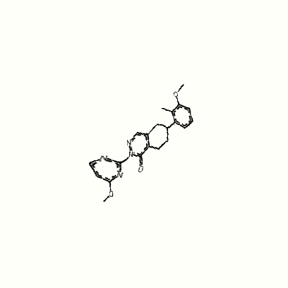 COc1ccnc(-n2ncc3c(c2=O)CCC(c2cccc(OC)c2C)C3)n1